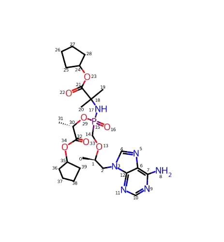 C[C@H](Cn1cnc2c(N)ncnc21)OCP(=O)(NC(C)(C)C(=O)OC1CCCC1)O[C@@H](C)C(=O)OC1CCCC1